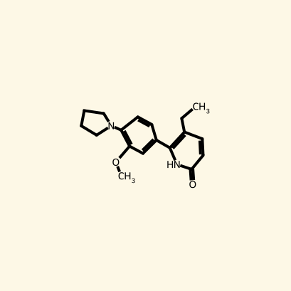 CCc1ccc(=O)[nH]c1-c1ccc(N2CCCC2)c(OC)c1